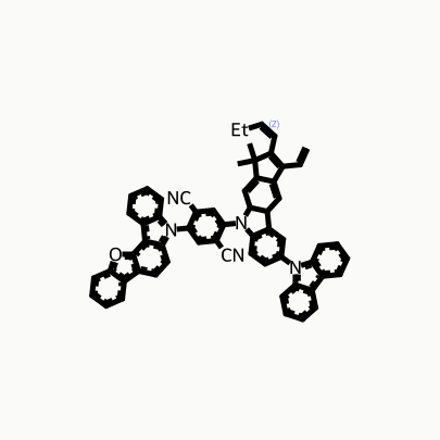 C=CC1=C(/C=C\CC)C(C)(C)C2=CC3C(C=C21)c1cc(-n2c4ccccc4c4ccccc42)ccc1N3c1cc(C#N)c(-n2c3ccccc3c3c4oc5ccccc5c4ccc32)cc1C#N